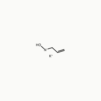 C=CC[N-]O.[K+]